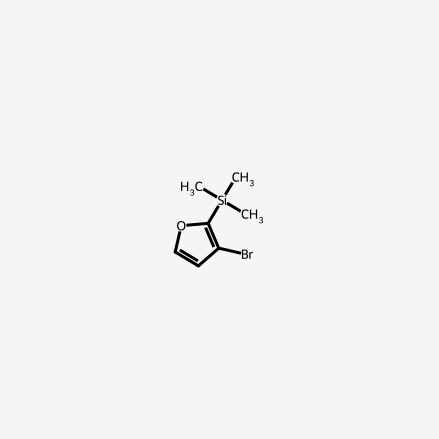 C[Si](C)(C)c1occc1Br